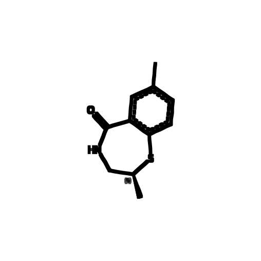 Cc1ccc2c(c1)C(=O)NC[C@H](C)S2